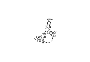 CC[C@@H]1C[C@H](C)CC/C=C\[C@@H]2C[C@@]2(C(=O)NS(=O)(=O)C2(C)CC2)NC(=O)[C@@H]2C[C@@H](Oc3nc4cc(OC)ccc4nc3Cl)CN2C(=O)[C@H]1NC(=O)O